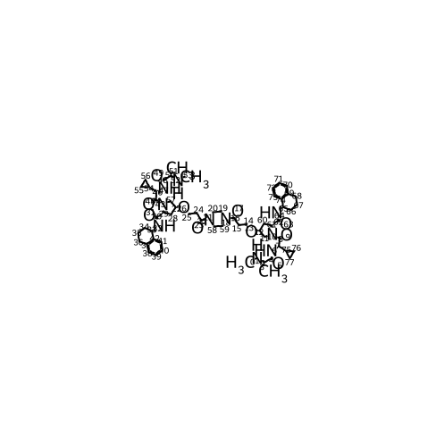 CN[C@@H](C)C(=O)N[C@H](C(=O)N1C[C@@H](OCCC(=O)N2CCN(C(=O)CCO[C@H]3C[C@@H](C(=O)N[C@@H]4CCCc5ccccc54)N(C(=O)[C@@H](NC(=O)[C@H](C)NC)C4CC4)C3)CC2)C[C@H]1C(=O)N[C@@H]1CCCc2ccccc21)C1CC1